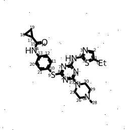 CCc1cnc(Nc2nc(Sc3ccc(NC(=O)C4CC4)cc3)nc(N3CCN(C)CC3)n2)s1